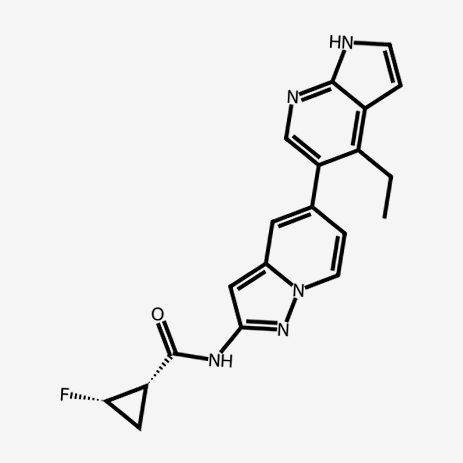 CCc1c(-c2ccn3nc(NC(=O)[C@@H]4C[C@@H]4F)cc3c2)cnc2[nH]ccc12